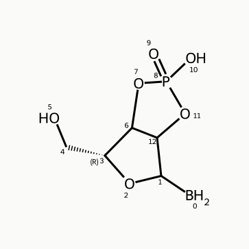 BC1O[C@H](CO)C2OP(=O)(O)OC12